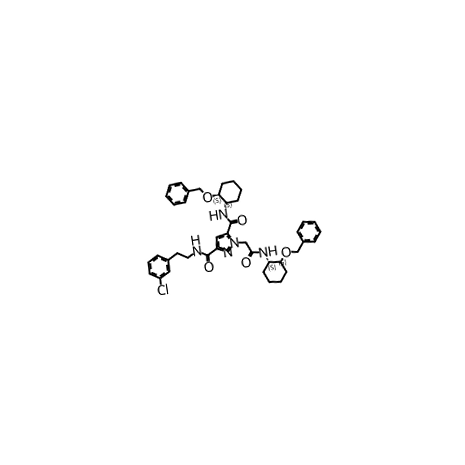 O=C(Cn1nc(C(=O)NCCc2cccc(Cl)c2)cc1C(=O)N[C@H]1CCCC[C@@H]1OCc1ccccc1)N[C@H]1CCCC[C@@H]1OCc1ccccc1